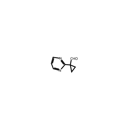 O=CC1(c2ncccn2)CC1